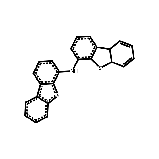 C1=CC2Sc3c(Nc4cccc5c4sc4ccccc45)cccc3C2C=C1